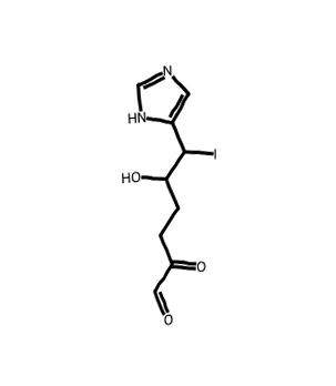 O=CC(=O)CCC(O)C(I)c1cnc[nH]1